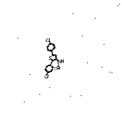 Clc1ccc(-c2cc(NC3CO3)c(-c3ccc(Cl)cc3)s2)cc1